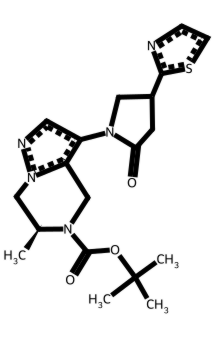 C[C@H]1Cn2ncc(N3CC(c4nccs4)CC3=O)c2CN1C(=O)OC(C)(C)C